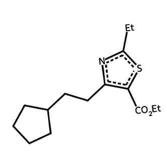 CCOC(=O)c1sc(CC)nc1CCC1CCCC1